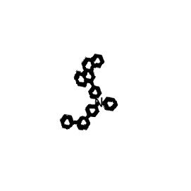 c1ccc(-c2cccc(-c3ccc(N(c4ccccc4)c4ccc(-c5cc6c7ccccc7ccc6c6ccccc56)cc4)cc3)c2)cc1